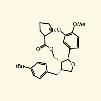 COc1ccc([C@H]2OC[C@H](Cc3ccc(C(C)(C)C)cc3)[C@@H]2COC(=O)C2CCCC2)cc1OC